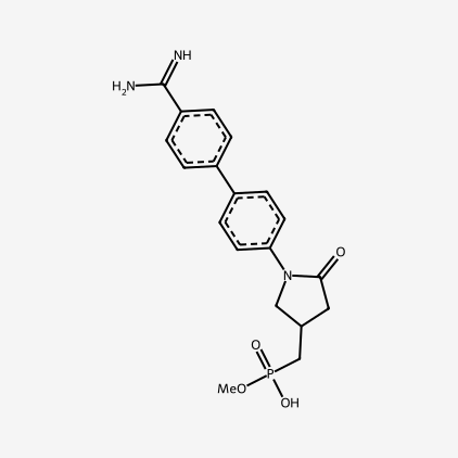 COP(=O)(O)CC1CC(=O)N(c2ccc(-c3ccc(C(=N)N)cc3)cc2)C1